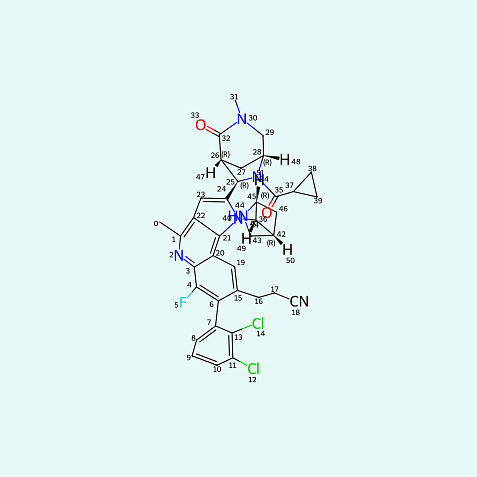 Cc1nc2c(F)c(-c3cccc(Cl)c3Cl)c(CCC#N)cc2c2c1cc([C@H]1[C@H]3C[C@H](CN(C)C3=O)N1C(=O)C1CC1)n2[C@H]1[C@H]2CN[C@@H]1C2